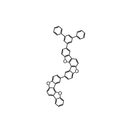 c1ccc(-c2cc(-c3ccccc3)cc(-c3ccc4oc5c(ccc6oc7ccc(-c8ccc9oc%10ccc%11c%12ccccc%12oc%11c%10c9c8)cc7c65)c4c3)c2)cc1